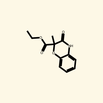 CCOC(=O)C1(C)Oc2ccccc2NC1=O